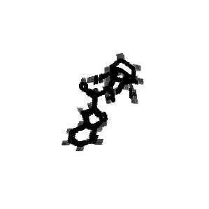 C[C@H]1[C@H](NC(=O)c2cc3cccnc3o2)C2CCN1CC2